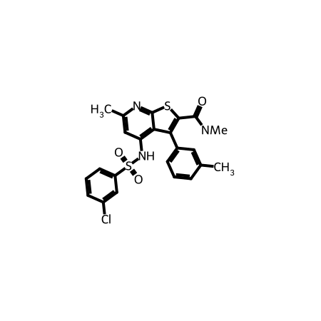 CNC(=O)c1sc2nc(C)cc(NS(=O)(=O)c3cccc(Cl)c3)c2c1-c1cccc(C)c1